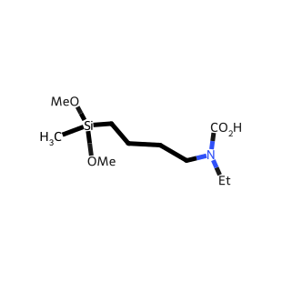 CCN(CCCC[Si](C)(OC)OC)C(=O)O